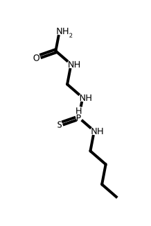 CCCCN[PH](=S)NCNC(N)=O